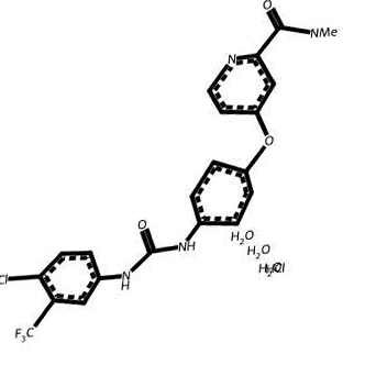 CNC(=O)c1cc(Oc2ccc(NC(=O)Nc3ccc(Cl)c(C(F)(F)F)c3)cc2)ccn1.Cl.O.O.O